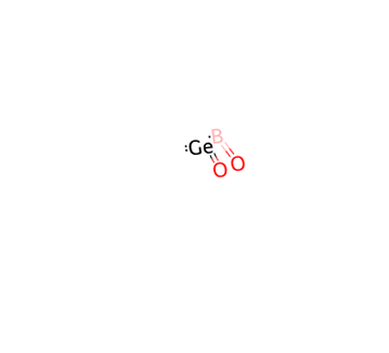 [B]=O.[O]=[Ge]